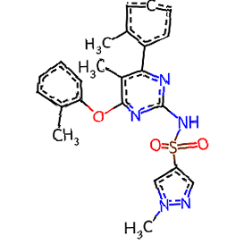 Cc1ccccc1Oc1nc(NS(=O)(=O)c2cnn(C)c2)nc(-c2ccccc2C)c1C